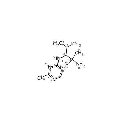 CC(C)[C@H](Nc1ccnc(Cl)n1)C(C)(C)N